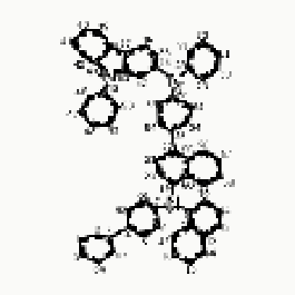 c1ccc(-c2ccc(N(c3cccc4ccccc34)c3ccc(-c4ccc(N(c5ccccc5)c5ccc6c7ccccc7n(-c7ccccc7)c6c5)cc4)c4ccccc34)cc2)cc1